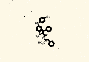 Cn1c(C(=O)N[C@@H](Cc2ccccc2)C(=O)O)c(-c2ccccc2)c2cc(Nc3ccc(C(C)(C)C)cc3)ccc21